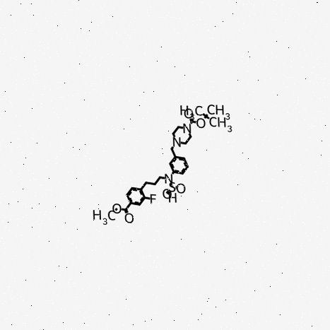 COC(=O)c1ccc(CCCN(c2cccc(CN3CCN(C(=O)OC(C)(C)C)CC3)c2)[SH](=O)=O)c(F)c1